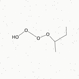 CCC(C)OOOO